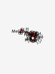 CC[C@@H]1OC(=O)[C@H](C)[C@H](O[C@@H]2C[C@](C)(O)[C@H](OC(=O)CCNCCSc3ccc4c(c3)c(=O)c(C(=O)OC)cn4CC)[C@H](C)O2)[C@@H](C)[C@H](O[C@@H]2O[C@H](C)C[C@H](N(C)C)[C@@H]2O)[C@](C)(OC)C[C@H](C)C(=O)[C@H](C)[C@@H](O)[C@]1(C)O